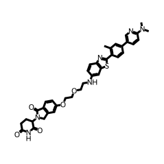 Cc1cc(-c2ccc(N(C)C)nc2)ccc1-c1nc2ccc(NCCOCCOc3ccc4c(c3)CN(C3CCC(=O)NC3=O)C4=O)cc2s1